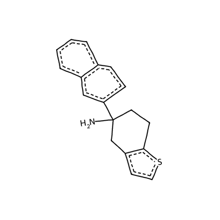 NC1(c2ccc3ccccc3c2)CCc2sccc2C1